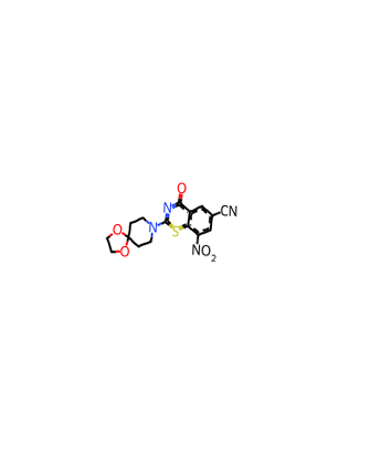 N#Cc1cc([N+](=O)[O-])c2sc(N3CCC4(CC3)OCCO4)nc(=O)c2c1